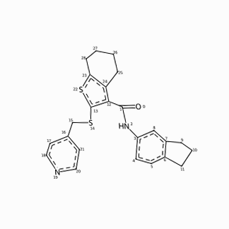 O=C(Nc1ccc2c(c1)CCC2)c1c(SCc2ccncc2)sc2c1CCCC2